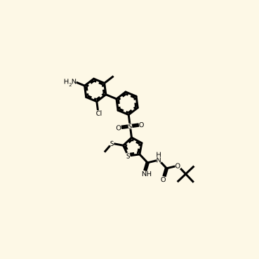 CSc1sc(C(=N)NC(=O)OC(C)(C)C)cc1S(=O)(=O)c1cccc(-c2c(C)cc(N)cc2Cl)c1